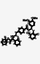 COc1ccc([C@H](Cc2c(Cl)cncc2Cl)OC(=O)c2ccc(CCNC(C(=O)O[C@H]3CN4CCC3CC4)c3ccccc3F)cc2)cc1OC